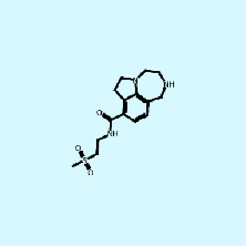 CS(=O)(=O)CCNC(=O)c1ccc2c3c1CCN3CCNC2